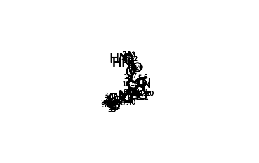 CCn1c(-c2cccnc2[C@H](C)OC)c(CC(C)(C)COC(=O)C2CCCNN2)c2cc(B3OC(C)(C)C(C)(C)O3)ccc21